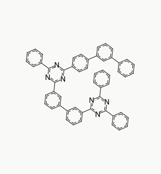 c1ccc(-c2cccc(-c3ccc(-c4nc(-c5ccccc5)nc(-c5cccc(-c6cccc(-c7nc(-c8ccccc8)nc(-c8ccccc8)n7)c6)c5)n4)cc3)c2)cc1